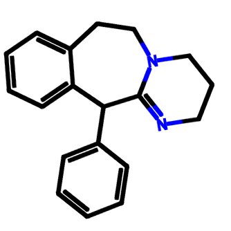 c1ccc(C2C3=NCCCN3CCc3ccccc32)cc1